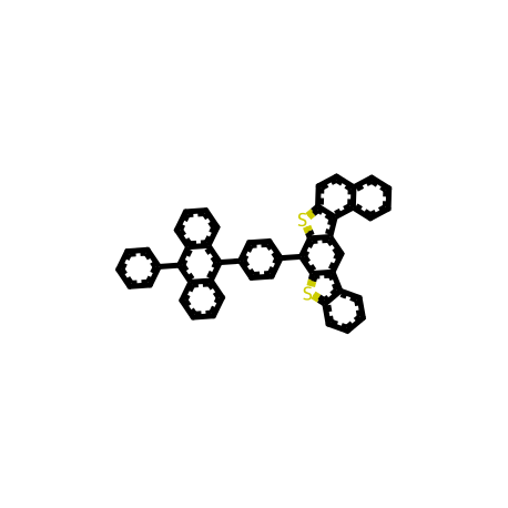 c1ccc(-c2c3ccccc3c(-c3ccc(-c4c5sc6ccccc6c5cc5c4sc4ccc6ccccc6c45)cc3)c3ccccc23)cc1